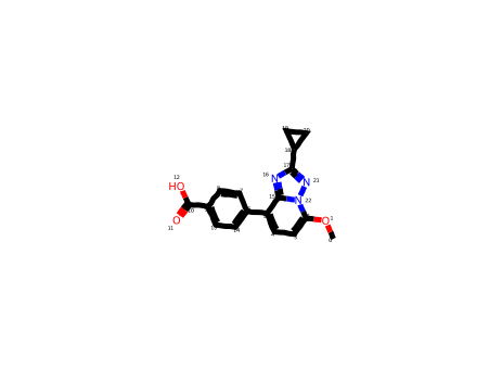 COc1ccc(-c2ccc(C(=O)O)cc2)c2nc(C3CC3)nn12